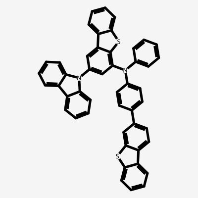 c1ccc(N(c2ccc(-c3ccc4c(c3)sc3ccccc34)cc2)c2cc(-n3c4ccccc4c4ccccc43)cc3c2sc2ccccc23)cc1